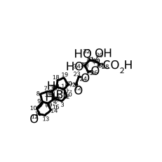 C[C@]12CC[C@@]3(Br)[C@@H](CCC4=CC(=O)CC[C@@]43C)[C@@H]1CC[C@@H]2C(=O)COC1O[C@H](C(=O)O)[C@@H](O)[C@H](O)[C@H]1O